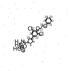 NC(OP(=O)(O)O)C1CCC(c2cc(Cl)c(OCCOc3ccccc3)c(Cl)c2)C1